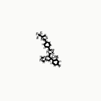 C[C@@H](c1nc(-c2ccc(-c3nc(C(F)(F)F)cs3)cc2)ns1)[C@](O)(Cn1cncn1)c1ccc(F)cc1F